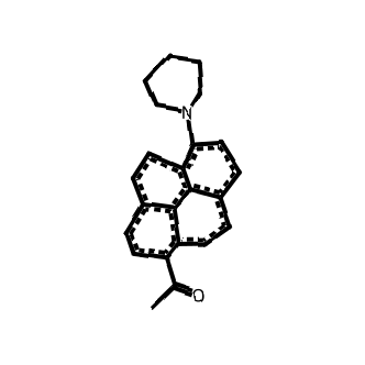 CC(=O)c1ccc2ccc3c(N4CCCCC4)ccc4ccc1c2c43